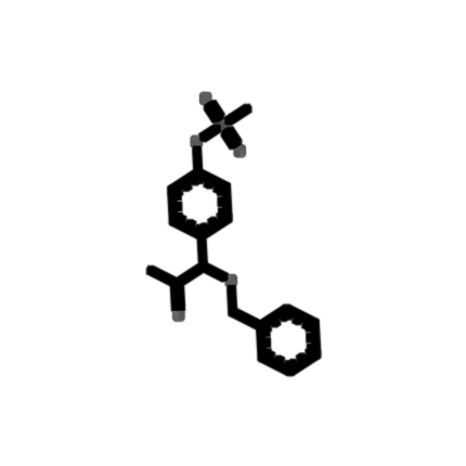 CC(=O)C(OCc1ccccc1)c1ccc(OS(C)(=O)=O)cc1